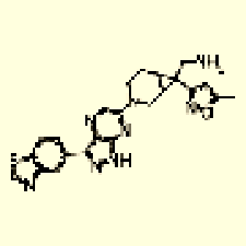 Cc1cc(C2(CN)C3CCN(c4cnc5c(-c6ccc7scnc7c6)n[nH]c5n4)CC32)no1